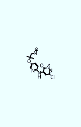 Cn1nc(Cl)cc(Nc2ccc(OC(C)(C)CN=O)cn2)c1=O